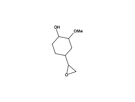 COC1CC(C2CO2)CCC1O